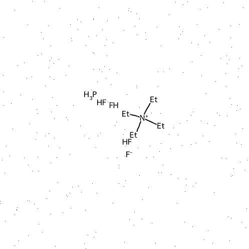 CC[N+](CC)(CC)CC.F.F.F.P.[F-]